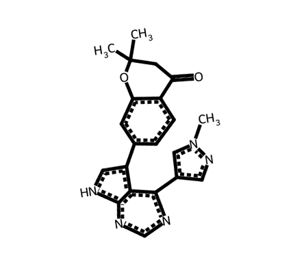 Cn1cc(-c2ncnc3[nH]cc(-c4ccc5c(c4)OC(C)(C)CC5=O)c23)cn1